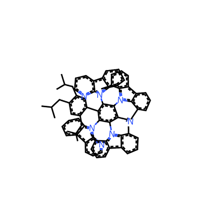 Cc1cccc2c3cccc(C)c3n(-c3c(C#N)c(-n4c5c(C)cccc5c5cccc(C)c54)c(-n4c5ccccc5c5cccnc54)c(-c4cc(CC(C)C)c(CC(C)C)cc4CC(C)C)c3-n3c4ccccc4c4cccnc43)c12